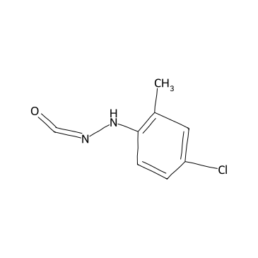 Cc1cc(Cl)ccc1NN=C=O